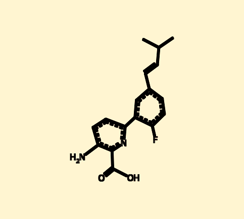 CC(C)C=Cc1ccc(F)c(-c2ccc(N)c(C(=O)O)n2)c1